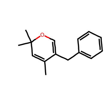 CC1=CC(C)(C)OC=C1Cc1ccccc1